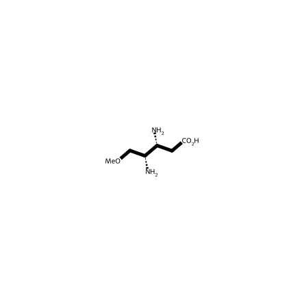 COC[C@@H](N)[C@H](N)CC(=O)O